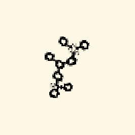 c1ccc(-c2cc(-c3ccc(-c4nc5ccccc5n4-c4ccccc4)cc3)cc(-c3cccc(-c4nc(-c5ccccc5)nc(-c5ccccc5)n4)c3)c2)cc1